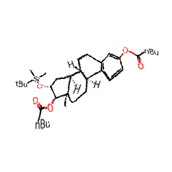 CCCCC(=O)Oc1ccc2c(c1)CC[C@@H]1[C@@H]2CC[C@@]2(C)[C@H]1C[C@@H](O[Si](C)(C)C(C)(C)C)[C@@H]2OC(=O)CCCC